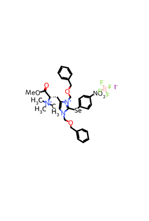 COC(=O)[C@H](Cc1cn(COCc2ccccc2)c([Se]c2ccc([N+](=O)[O-])cc2)[n+]1COCc1ccccc1)[N+](C)(C)C.F[B-](F)(F)F.[I-]